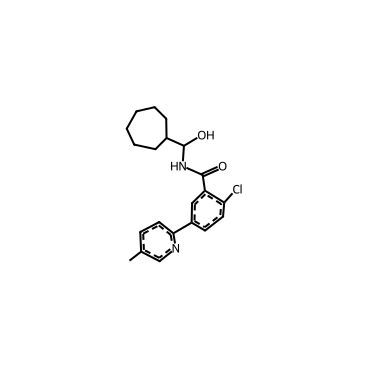 Cc1ccc(-c2ccc(Cl)c(C(=O)NC(O)C3CCCCCC3)c2)nc1